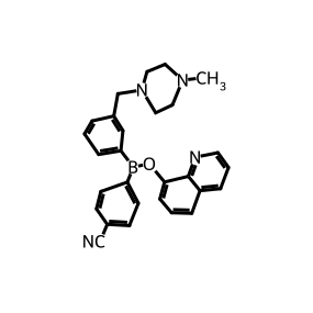 CN1CCN(Cc2cccc(B(Oc3cccc4cccnc34)c3ccc(C#N)cc3)c2)CC1